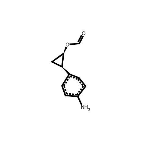 Nc1ccc([C@H]2C[C@H]2OC=O)cc1